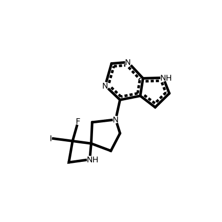 FC1(I)CNC12CCN(c1ncnc3[nH]ccc13)C2